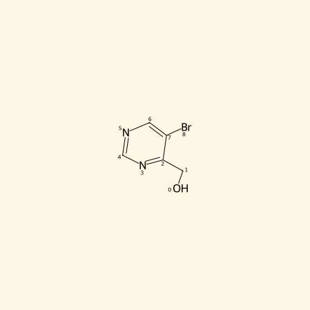 OCc1ncncc1Br